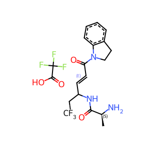 C[C@H](N)C(=O)NC(/C=C/C(=O)N1CCc2ccccc21)CC(F)(F)F.O=C(O)C(F)(F)F